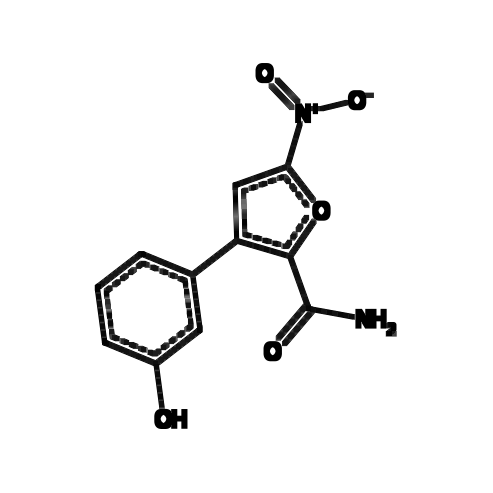 NC(=O)c1oc([N+](=O)[O-])cc1-c1cccc(O)c1